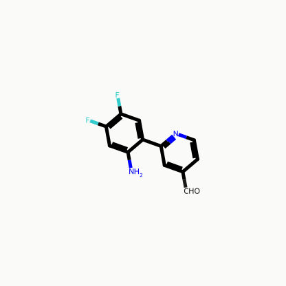 Nc1cc(F)c(F)cc1-c1cc(C=O)ccn1